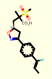 C/C=C(\F)c1ccc(C2=NO[C@@H](CC(C)(C(=O)O)S(C)(=O)=O)C2)cc1